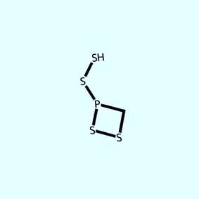 SSP1CSS1